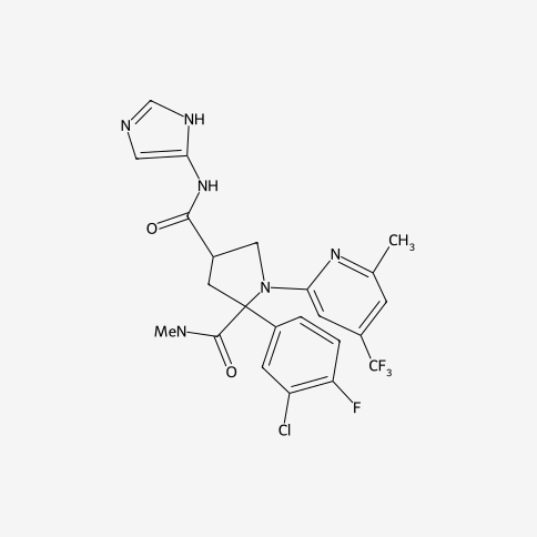 CNC(=O)C1(c2ccc(F)c(Cl)c2)CC(C(=O)Nc2cnc[nH]2)CN1c1cc(C(F)(F)F)cc(C)n1